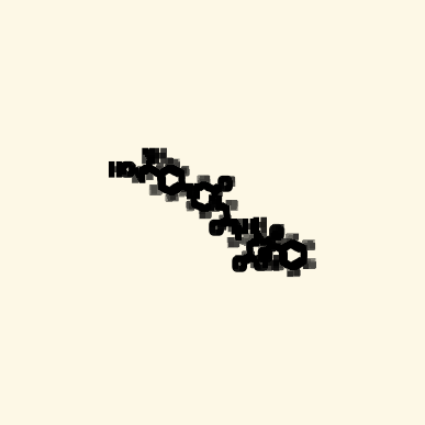 NC(=NO)c1ccc(N2CCN(CC(=O)NC[C@H](NS(=O)(=O)c3ccccc3)C(=O)O)C(=O)C2)cc1